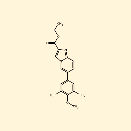 CCOC(=O)c1cn2cc(-c3cc(C)c(OC)c(C)c3)ccc2n1